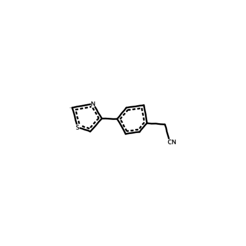 N#CCc1ccc(-c2cs[c]n2)cc1